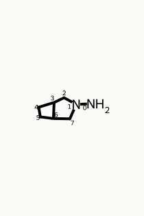 NN1CC2CCC2C1